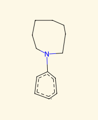 [c]1ccc(N2CCCCCCC2)cc1